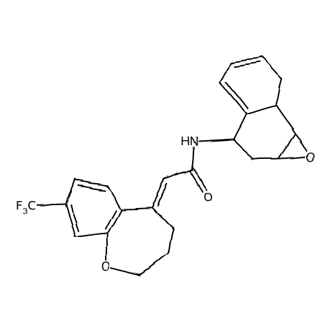 O=C(C=C1CCCOc2cc(C(F)(F)F)ccc21)NC1CC2OC2C2CC=CC=C12